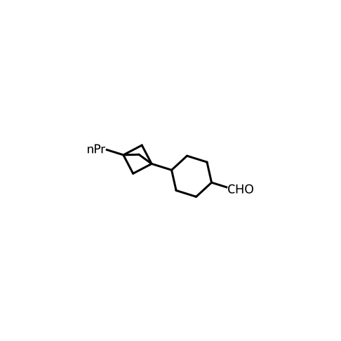 CCCC12CC(C3CCC(C=O)CC3)(C1)C2